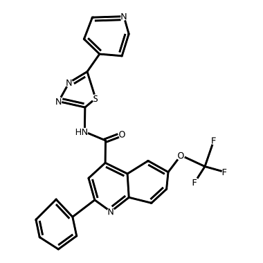 O=C(Nc1nnc(-c2ccncc2)s1)c1cc(-c2ccccc2)nc2ccc(OC(F)(F)F)cc12